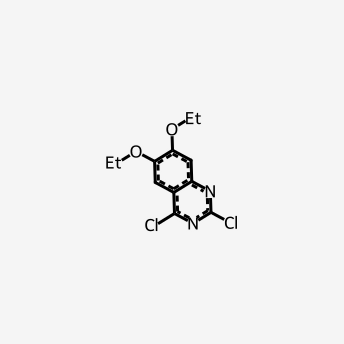 CCOc1cc2nc(Cl)nc(Cl)c2cc1OCC